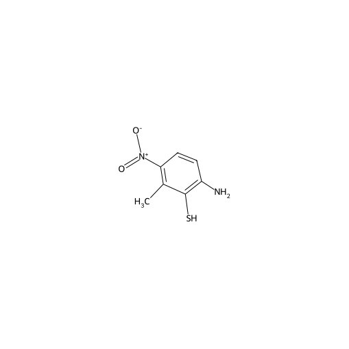 Cc1c([N+](=O)[O-])ccc(N)c1S